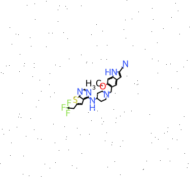 COc1cc2[nH]c(C#N)cc2cc1CN1CCC(Nc2ncnc3sc(CC(F)(F)F)cc23)CC1